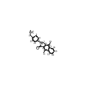 CC(=O)Cc1ccc(N2Cc3c(c(C)c4ccccc4c3C)C2=O)cc1